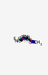 CN1CCN(C(=O)CCCc2ccc(N3C(=S)N(C4=C(F)C(C(F)(F)F)C(C#N)C=C4)C(=O)C3(C)C)cc2F)CC1